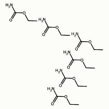 CCOC(N)=O.CCOC(N)=O.CCOC(N)=O.CCOC(N)=O.CCOC(N)=O.CCOC(N)=O